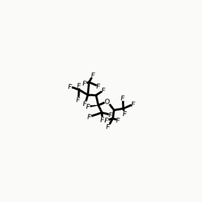 FC(C(F)(C(F)(F)F)C(F)(F)F)[C@](F)(OC(C(F)(F)F)C(F)(F)F)C(F)(F)F